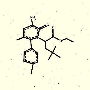 CCOC(=O)C(CC(C)(C)C)n1c(-c2ccc(C)cc2)c(C)cc(N)c1=O